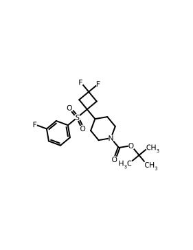 CC(C)(C)OC(=O)N1CCC(C2(S(=O)(=O)c3cccc(F)c3)CC(F)(F)C2)CC1